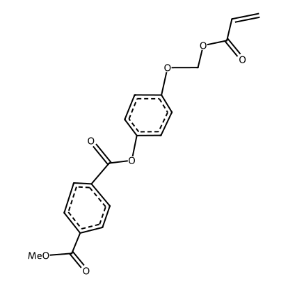 C=CC(=O)OCOc1ccc(OC(=O)c2ccc(C(=O)OC)cc2)cc1